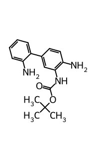 CC(C)(C)OC(=O)Nc1cc(-c2ccccc2N)ccc1N